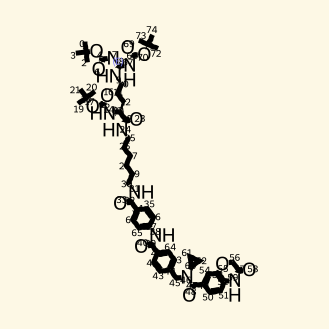 CC(C)(C)OC(=O)/N=C(\NCCC[C@H](NC(=O)OC(C)(C)C)C(=O)NCCCCCCNC(=O)c1ccc(NC(=O)c2ccc(CN(C(=O)c3ccc4c(c3)OCC(=O)N4)C3CC3)cc2)cc1)NC(=O)OC(C)(C)C